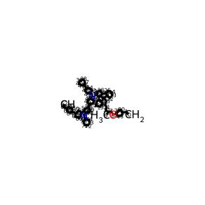 C=Cc1ccc(OCC(C)CCCCC2(c3ccccc3)c3ccccc3-c3ccc(N(c4ccc(-c5ccccc5)cc4)c4ccc(-c5ccc6c(c5)c5cc(-c7ccc(C=C)cc7)ccc5n6-c5ccccc5)cc4)cc32)cc1